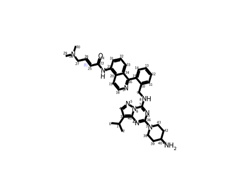 CC(C)c1cnn2c(NCc3ccccc3-c3nccc4c(NC(=O)/C=C/CN(C)C)cccc34)nc(N3CCC(N)CC3)nc12